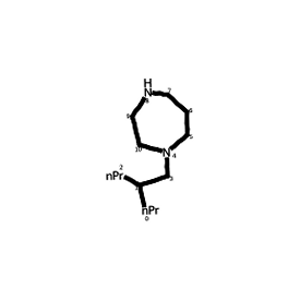 CCCC(CCC)CN1CCCNCC1